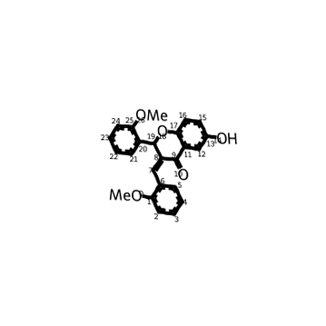 COc1ccccc1C=C1C(=O)c2cc(O)ccc2OC1c1ccccc1OC